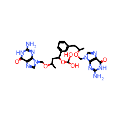 CC(Cc1cccc(C(CC(C)OCn2cnc3c(=O)[nH]c(N)nc32)OC(O)O)c1)OCn1cnc2c(=O)[nH]c(N)nc21